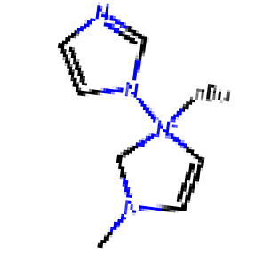 CCCC[N+]1(n2ccnc2)C=CN(C)C1